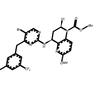 CC[C@@H]1C[C@H](Nc2ncc(Br)c(Cc3cc(C(F)(F)F)cc(C(F)(F)F)c3)n2)c2nc(OC)ccc2N1C(=O)OC(C)(C)C